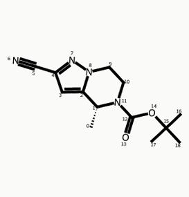 C[C@@H]1c2cc(C#N)nn2CCN1C(=O)OC(C)(C)C